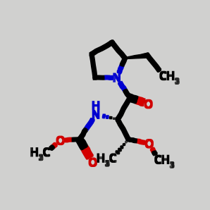 CC[C@@H]1CCCN1C(=O)[C@@H](NC(=O)OC)[C@@H](C)OC